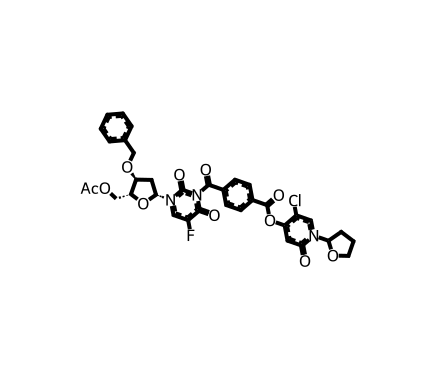 CC(=O)OC[C@H]1O[C@@H](n2cc(F)c(=O)n(C(=O)c3ccc(C(=O)Oc4cc(=O)n(C5CCCO5)cc4Cl)cc3)c2=O)C[C@@H]1OCc1ccccc1